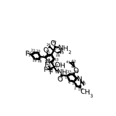 Cc1cc2cc(C(=O)NCC(O)(c3cc4c(c(-c5ccc(F)cc5)n3)OC[C@]4(CF)C(N)=O)C(F)(F)F)cc(OC3CC3)c2nn1